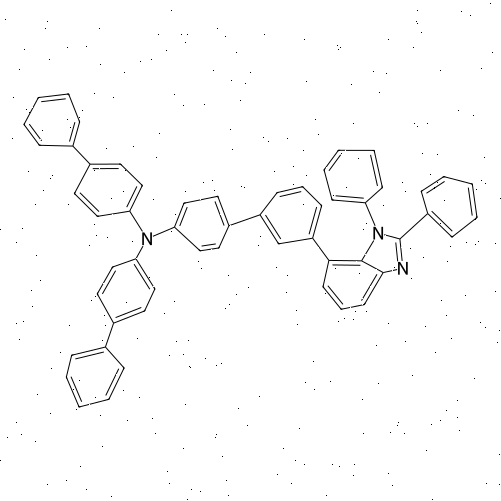 c1ccc(-c2ccc(N(c3ccc(-c4ccccc4)cc3)c3ccc(-c4cccc(-c5cccc6nc(-c7ccccc7)n(-c7ccccc7)c56)c4)cc3)cc2)cc1